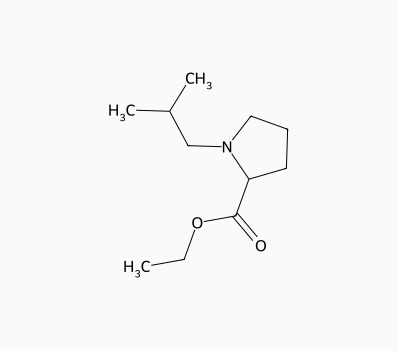 CCOC(=O)C1CCCN1CC(C)C